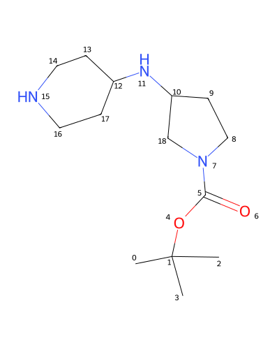 CC(C)(C)OC(=O)N1CCC(NC2CCNCC2)C1